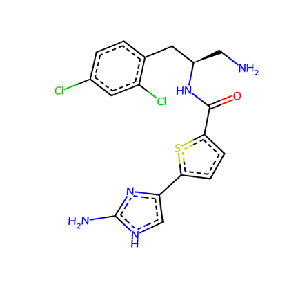 NC[C@H](Cc1ccc(Cl)cc1Cl)NC(=O)c1ccc(-c2c[nH]c(N)n2)s1